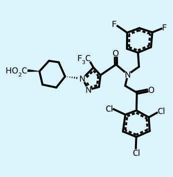 O=C(CN(Cc1cc(F)cc(F)c1)C(=O)c1cnn([C@H]2CC[C@H](C(=O)O)CC2)c1C(F)(F)F)c1c(Cl)cc(Cl)cc1Cl